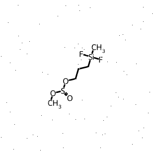 COS(=O)OCCC[Si](C)(F)F